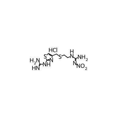 Cl.N=C(N)Nc1nc(CSCCNC(N)=N[N+](=O)[O-])cs1